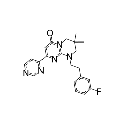 CC1(C)CN(CCc2cccc(F)c2)c2nc(-c3ccncn3)cc(=O)n2C1